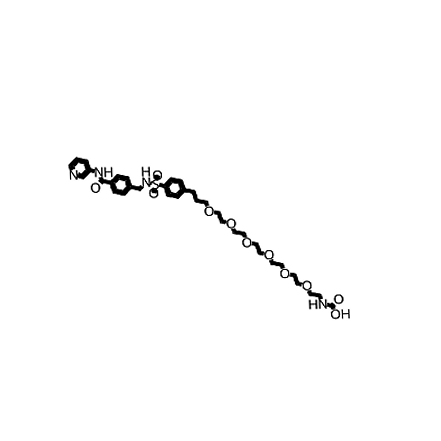 O=C(O)NCCOCCOCCOCCOCCOCCOCCCc1ccc(S(=O)(=O)NCc2ccc(C(=O)Nc3cccnc3)cc2)cc1